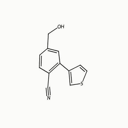 N#Cc1ccc(CO)cc1-c1ccsc1